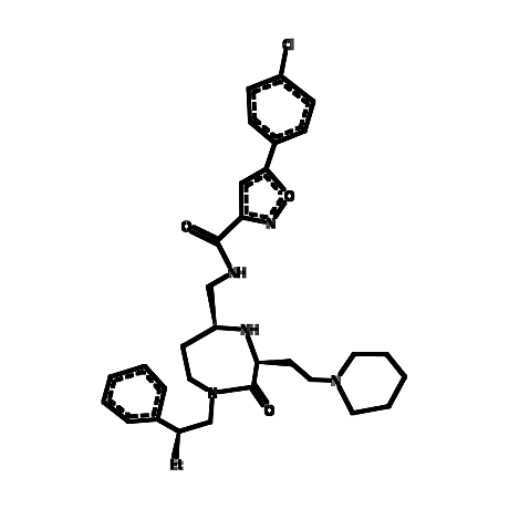 CC[C@H](CN1CC[C@@H](CNC(=O)c2cc(-c3ccc(Cl)cc3)on2)N[C@@H](CCN2CCCCC2)C1=O)c1ccccc1